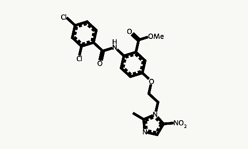 COC(=O)c1cc(OCCn2c([N+](=O)[O-])cnc2C)ccc1NC(=O)c1ccc(Cl)cc1Cl